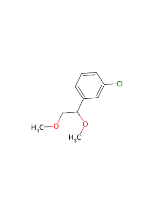 COCC(OC)c1cccc(Cl)c1